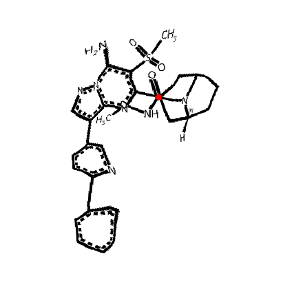 CONC(=O)N1C2CC[C@@H]1CC(c1nc3c(-c4ccc(-c5ccccc5)nc4)cnn3c(N)c1S(C)(=O)=O)C2